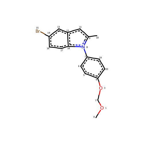 COCOc1ccc(-n2c(C)cc3cc(Br)ccc32)cc1